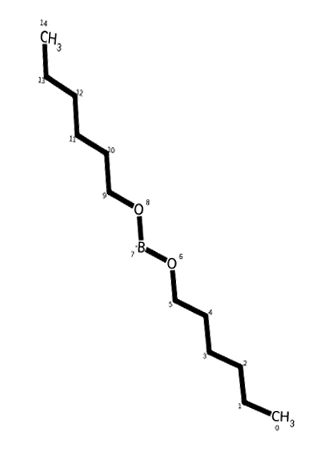 CCCCCCO[B]OCCCCCC